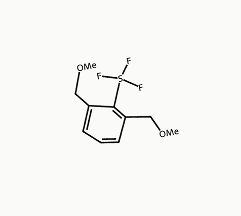 COCc1cccc(COC)c1S(F)(F)F